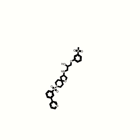 CS(=O)(=O)c1cccc(OCC(O)CNC2COC3(CCN(S(=O)(=O)c4cccc(-c5cccnc5)c4)CC3)C2)c1